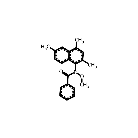 COP(C(=O)c1ccccc1)c1c(C)cc(C)c2cc(C)ccc12